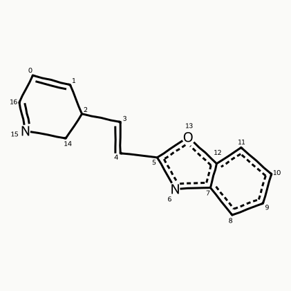 C1=CC(/C=C/c2nc3ccccc3o2)CN=C1